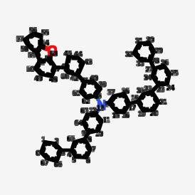 c1ccc(-c2cccc(-c3ccc(N(c4ccc(-c5cccc(-c6cccc(-c7ccccc7)c6)c5)cc4)c4ccc(-c5cccc(-c6cccc7c6oc6ccccc67)c5)cc4)cc3)c2)cc1